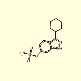 NS(=O)(=O)Oc1ccc2c(C3CCCCC3)n[nH]c2c1